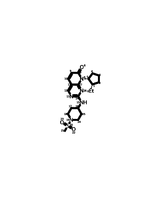 CC[C@H]1CCC[C@H]1n1c(=O)ccc2cnc(NC3CCN(S(C)(=O)=O)CC3)nc21